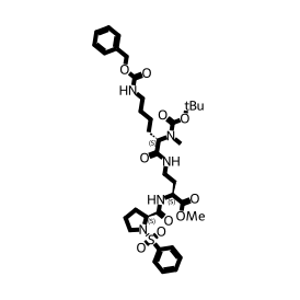 COC(=O)[C@H](CCNC(=O)[C@H](CCCCNC(=O)OCc1ccccc1)N(C)C(=O)OC(C)(C)C)NC(=O)[C@@H]1CCCN1S(=O)(=O)c1ccccc1